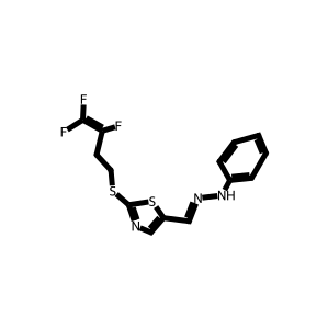 FC(F)=C(F)CCSc1ncc(C=NNc2ccccc2)s1